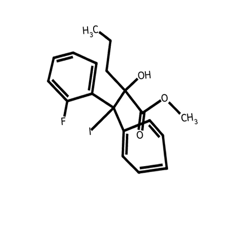 CCCC(O)(C(=O)OC)C(I)(c1ccccc1)c1ccccc1F